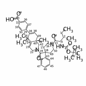 CC[C@H](C)[C@H](NC(=O)OC(C)(C)C)C(=O)N1CCC(C(=O)N2CC=C3C(C)(C)C(c4ccc(C(=O)O)cc4)=CC[C@]3(C)C2)(c2ccccc2)CC1